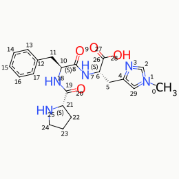 Cn1cnc(C[C@H](NC(=O)[C@H](Cc2ccccc2)NC(=O)[C@@H]2CCCN2)C(=O)O)c1